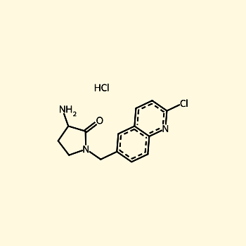 Cl.NC1CCN(Cc2ccc3nc(Cl)ccc3c2)C1=O